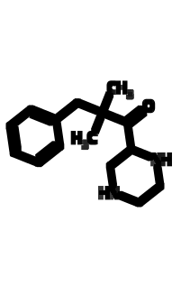 CC(C)(Cc1ccccc1)C(=O)C1CNCCN1